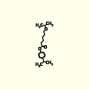 CC(C)OCCCCCC(=O)Oc1ccc(C(C)C)cc1